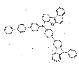 c1ccc(-c2ccc(-c3ccc(N(c4ccc(-c5ccc6c(c5)c5ccccc5n6-c5ccccc5)cc4)c4cccc5c4oc4ccc6ccccc6c45)cc3)cc2)cc1